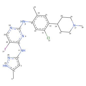 Cc1cc(Nc2nc(Nc3cc(Cl)c(C4CCN(C)CC4)cc3C)ncc2I)n[nH]1